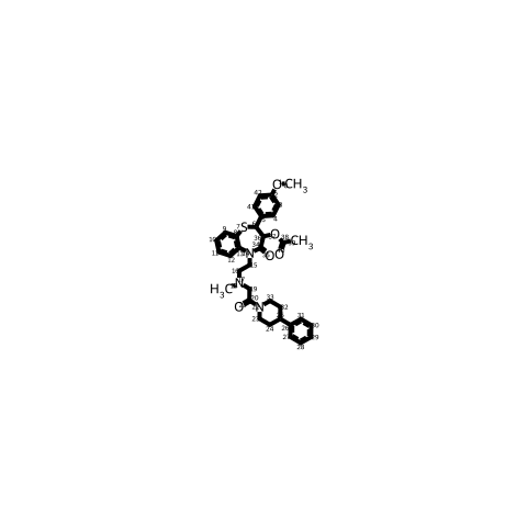 COc1ccc(C2Sc3ccccc3N(CCN(C)CC(=O)N3CCC(c4ccccc4)CC3)C(=O)C2OC(C)=O)cc1